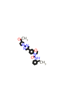 CCc1ccccc1NC(=O)N1CCOc2cc(-c3cnc(N4CCC(C(C)=O)C4)nc3)ccc21